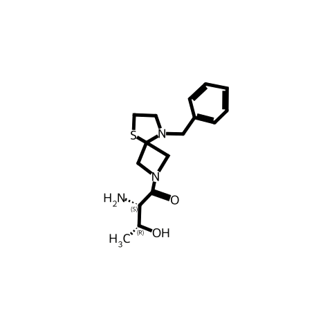 C[C@@H](O)[C@H](N)C(=O)N1CC2(C1)SCCN2Cc1ccccc1